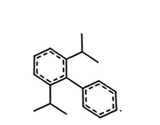 CC(C)c1cccc(C(C)C)c1-c1cc[c]cc1